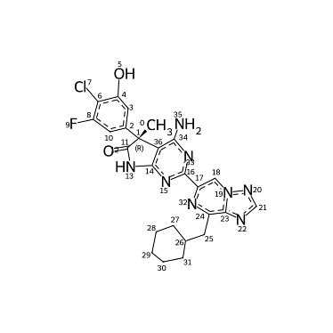 C[C@]1(c2cc(O)c(Cl)c(F)c2)C(=O)Nc2nc(-c3cn4ncnc4c(CC4CCCCC4)n3)nc(N)c21